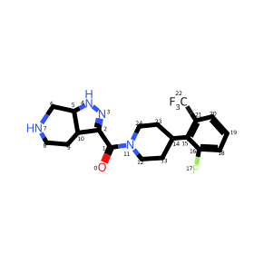 O=C(C1=NNC2CNCCC12)N1CCC(c2c(F)cccc2C(F)(F)F)CC1